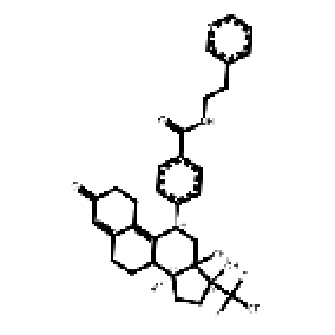 CC12C[C@H](c3ccc(C(=O)NCCc4cccnc4)cc3)C3=C4CCC(=O)C=C4CCC3[C@@H]1CC[C@@]2(O)C(F)(F)C(F)(F)F